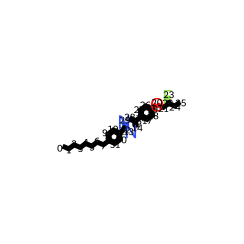 CCCCCCCCc1ccc(-c2ncc(-c3ccc(OCC(F)CC)cc3)cn2)cc1